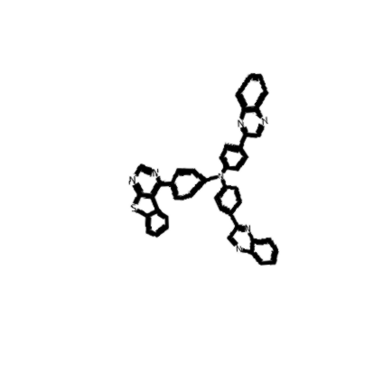 c1ccc2nc(-c3ccc(N(c4ccc(-c5cnc6ccccc6n5)cc4)c4ccc(-c5ncnc6sc7ccccc7c56)cc4)cc3)cnc2c1